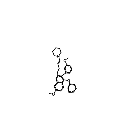 COc1cccc(-c2c(CCC=CN3CCCCC3)cc3cc(OC)ccc3c2Oc2ccccc2)c1